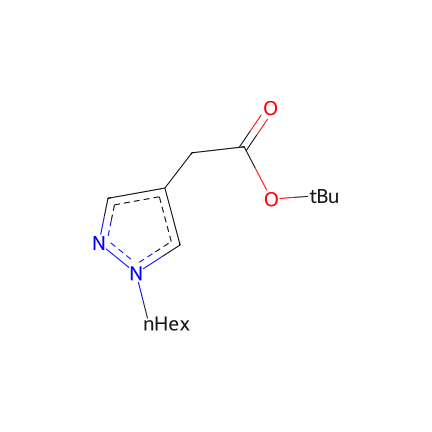 CCCCCCn1cc(CC(=O)OC(C)(C)C)cn1